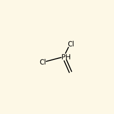 C=[PH](Cl)Cl